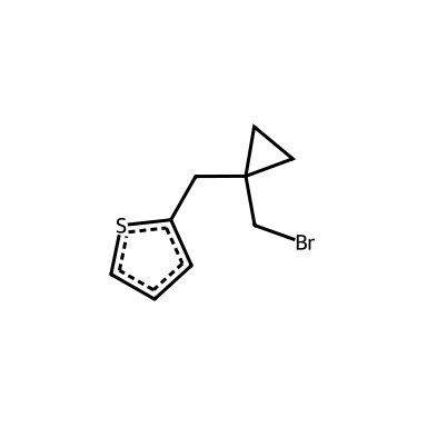 BrCC1(Cc2cccs2)CC1